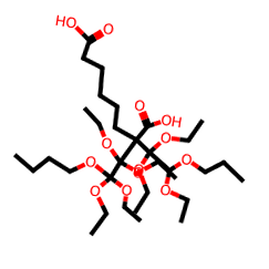 CCCCOC(OCC)(OCC)C(OCC)(OCC)C(CCCCCC(=O)O)(C(=O)O)C(OCC)(OCC)C(OCC)OCCC